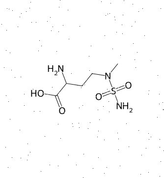 CN(CCC(N)C(=O)O)S(N)(=O)=O